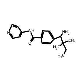 CCC(C)(C)C(N)c1ccc(C(=O)Nc2ccncc2)cc1